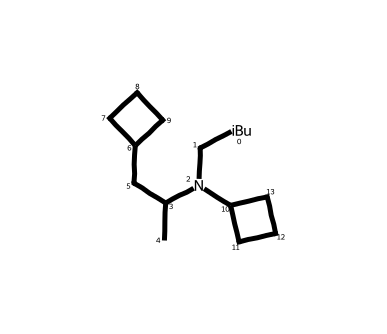 CCC(C)CN(C(C)CC1CCC1)C1CCC1